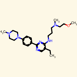 CCc1cnc(-c2ccc(N3CCN(C)CC3)cc2)nc1NCCCN(C)CCOC